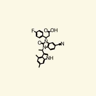 Cc1cc(C)c2c(C(C)n3c(=O)n(C(CC(=O)O)c4ccc(F)cc4)c4cc(C#N)ccc43)c[nH]c2c1